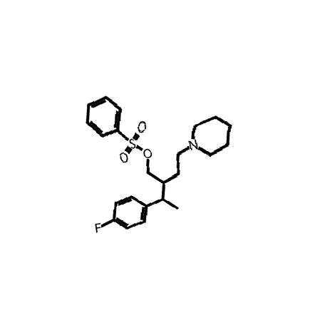 CC(c1ccc(F)cc1)C(CCN1CCCCC1)COS(=O)(=O)c1ccccc1